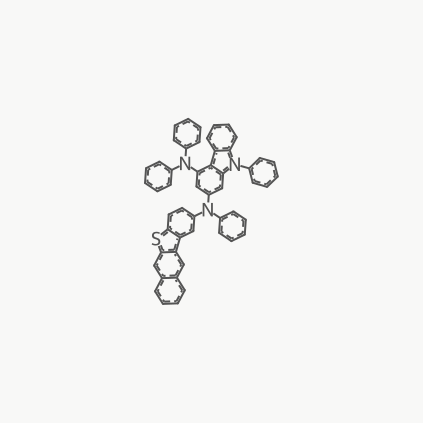 c1ccc(N(c2ccc3sc4cc5ccccc5cc4c3c2)c2cc(N(c3ccccc3)c3ccccc3)c3c4ccccc4n(-c4ccccc4)c3c2)cc1